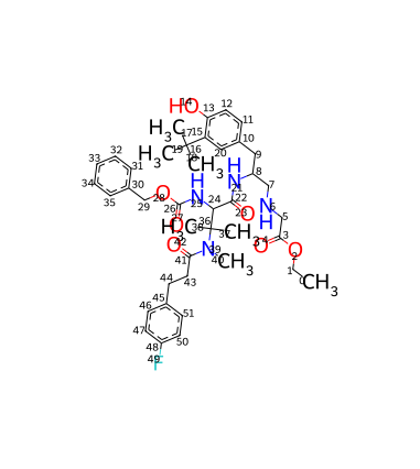 CCOC(=O)CNCC(Cc1ccc(O)c(C(C)(C)C)c1)NC(=O)C(NC(=O)OCc1ccccc1)C(C)(C)N(C)C(=O)CCc1ccc(F)cc1